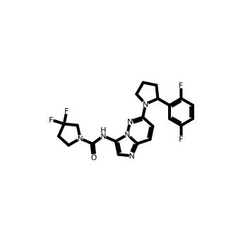 O=C(Nc1cnc2ccc(N3CCCC3c3cc(F)ccc3F)nn12)N1CCC(F)(F)C1